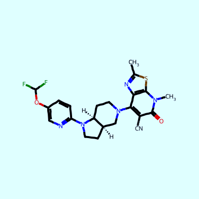 Cc1nc2c(N3CC[C@H]4[C@H](CCN4c4ccc(OC(F)F)cn4)C3)c(C#N)c(=O)n(C)c2s1